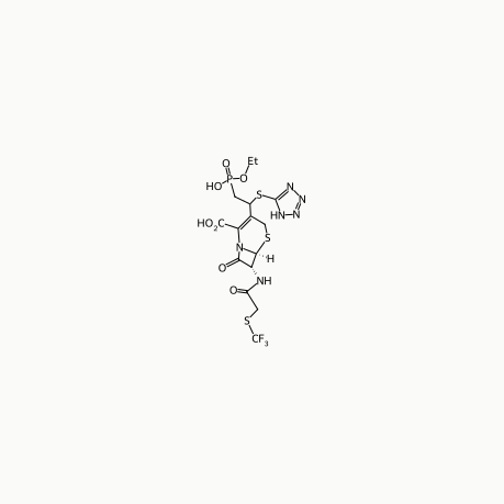 CCOP(=O)(O)CC(Sc1nnn[nH]1)C1=C(C(=O)O)N2C(=O)[C@@H](NC(=O)CSC(F)(F)F)[C@@H]2SC1